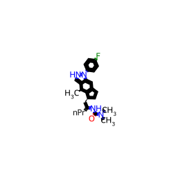 CCCC(C[C@H]1CCC2=C1[C@@H](C)C1=CNN(c3ccc(F)cc3)C1=C2)NC(=O)N(C)C